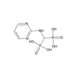 O=P(O)(O)C(Nc1ncccn1)P(=O)(O)O